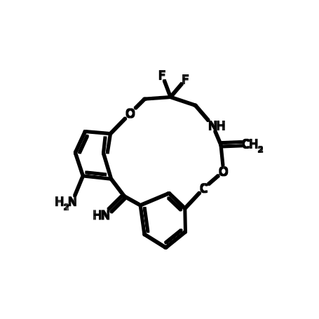 C=C1NCC(F)(F)COc2ccc(N)c(c2)C(=N)c2cccc(c2)CO1